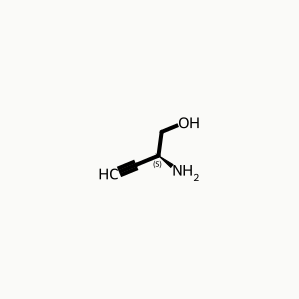 C#C[C@H](N)CO